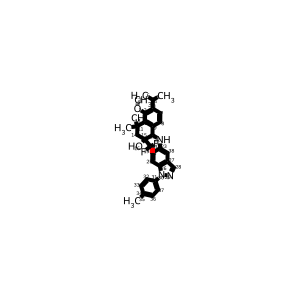 COc1c(C(C)C)ccc2c1C(C)(C)CC(O)(C(F)(F)F)C2Nc1ccc2c(cnn2-c2ccc(C)cc2)c1